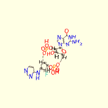 Nc1nc2c(ncn2[C@@H]2O[C@@H]3CCOP(=O)(O)O[C@@H]4[C@@H](CCOP(=O)(O)O[C@@H]2[C@@H]3O)C[C@@H](Nc2ccncn2)[C@@H]4F)c(=O)[nH]1